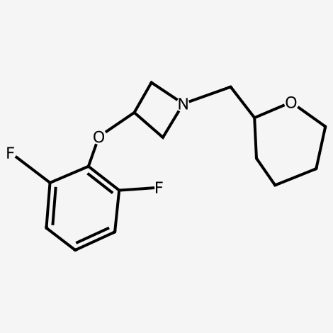 Fc1cccc(F)c1OC1CN(CC2CCCCO2)C1